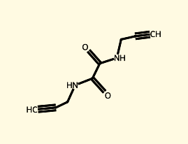 C#CCNC(=O)C(=O)NCC#C